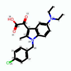 CCN(CC)c1ccc2c(c1)c(C(=O)C(=O)O)c(C)n2Cc1ccc(Cl)cc1